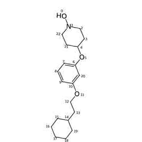 ON1CCC(Oc2cccc(OCCC3CCCCC3)c2)CC1